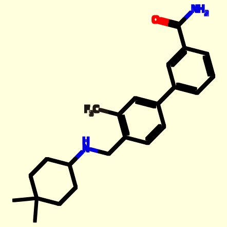 CC1(C)CCC(NCc2ccc(-c3cccc(C(N)=O)c3)cc2C(F)(F)F)CC1